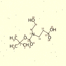 CC(C)(C)OC(=O)N(CCO)CCC(=O)O